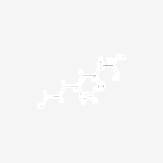 CCCC/C(N)=C/C(=O)OC(C)C